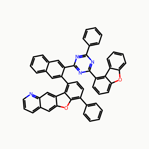 c1ccc(-c2nc(-c3cc4ccccc4cc3-c3ccc(-c4ccccc4)c4oc5cc6cccnc6cc5c34)nc(-c3cccc4oc5ccccc5c34)n2)cc1